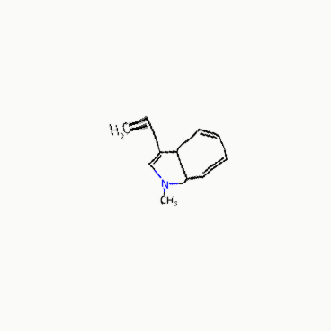 C=CC1=CN(C)C2C=CC=CC12